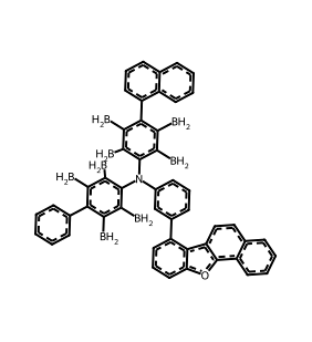 Bc1c(B)c(N(c2cccc(-c3cccc4oc5c6ccccc6ccc5c34)c2)c2c(B)c(B)c(-c3cccc4ccccc34)c(B)c2B)c(B)c(B)c1-c1ccccc1